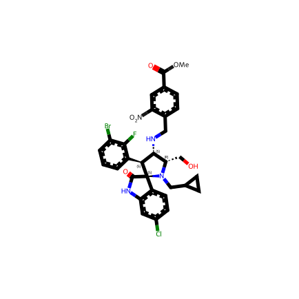 COC(=O)c1ccc(CN[C@@H]2[C@H](CO)N(CC3CC3)[C@@]3(C(=O)Nc4cc(Cl)ccc43)[C@H]2c2cccc(Br)c2F)c([N+](=O)[O-])c1